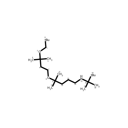 CC(C)(C)COC(C)(C)CCOC(C)(C)CCCNC(C)(C)C(C)(C)C